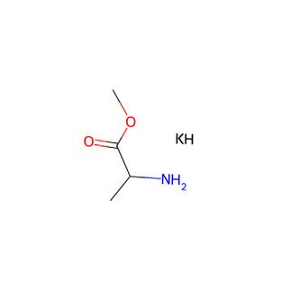 COC(=O)C(C)N.[KH]